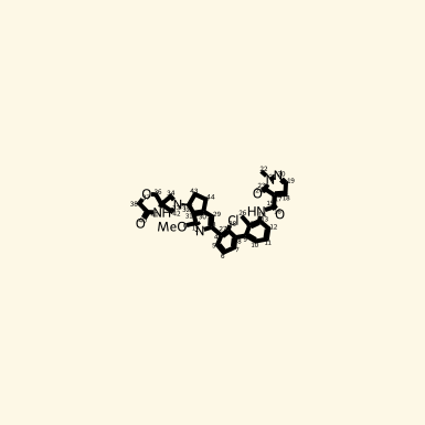 COc1nc(-c2cccc(-c3cccc(NC(=O)c4ccnn(C)c4=O)c3C)c2Cl)cc2c1[C@@H](N1CC3(COCC(=O)N3)C1)CC2